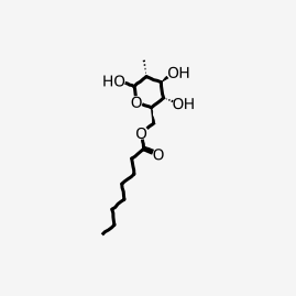 CCCCCCCC(=O)OC[C@H]1OC(O)[C@H](C)[C@@H](O)[C@@H]1O